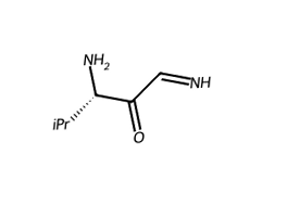 CC(C)[C@H](N)C(=O)C=N